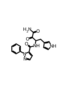 NC(=O)C(=O)C(Cc1cc[nH]c1)NC(=O)c1ccnn1-c1ccccc1